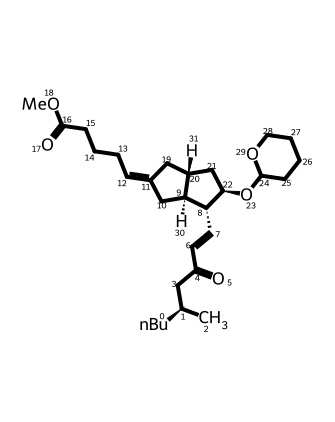 CCCC[C@H](C)CC(=O)C=C[C@@H]1[C@H]2CC(=CCCCC(=O)OC)C[C@@H]2C[C@H]1OC1CCCCO1